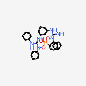 N=C(Nc1ccccc1)N(OP(=O)(ON(C(=N)Nc1ccccc1)c1ccccc1)c1ccccc1)c1ccccc1